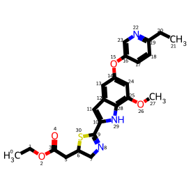 CCOC(=O)CC1CN=C(c2cc3cc(Oc4ccc(CC)nc4)cc(OC)c3[nH]2)S1